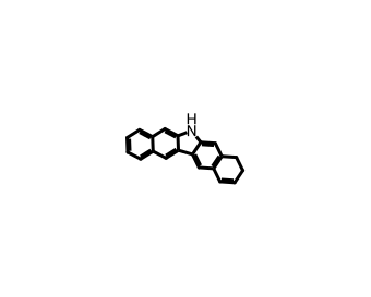 C1=Cc2cc3c(cc2CC1)[nH]c1cc2ccccc2cc13